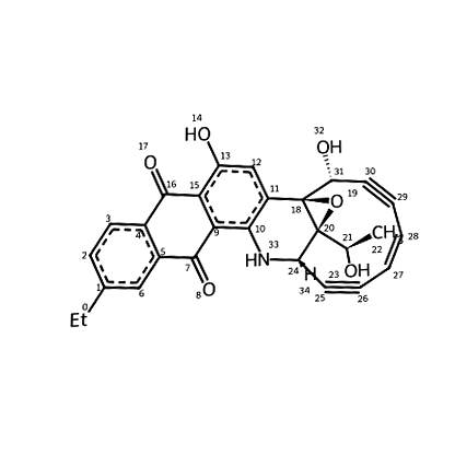 CCc1ccc2c(c1)C(=O)c1c3c(cc(O)c1C2=O)[C@@]12O[C@@]1([C@@H](C)O)[C@H](C#C/C=C\C#C[C@H]2O)N3